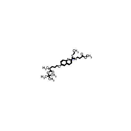 CCS/C(=N\CCC(=O)OC)c1ccc2cc(OCCCN(C)C(=O)OC(C)(C)C)ccc2n1